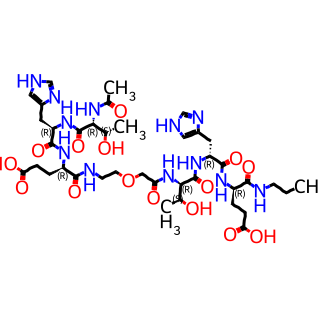 CCCNC(=O)[C@@H](CCC(=O)O)NC(=O)[C@@H](Cc1c[nH]cn1)NC(=O)[C@H](NC(=O)COCCNC(=O)[C@@H](CCC(=O)O)NC(=O)[C@@H](Cc1c[nH]cn1)NC(=O)[C@H](NC(C)=O)[C@H](C)O)[C@H](C)O